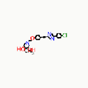 C[C@@]1(O)CCN(CCOc2ccc(C#Cc3cnc(-c4ccc(Cl)cc4)cn3)cc2)C[C@@H]1O